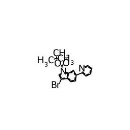 CC(C)(C)OC(=O)n1cc(Br)c2ccc(-c3ccccn3)cc21